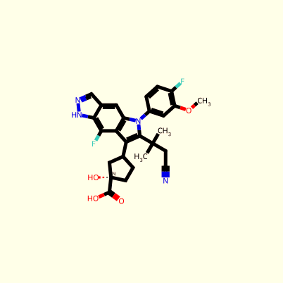 COc1cc(-n2c(C(C)(C)CC#N)c(C3CC[C@@](O)(C(=O)O)C3)c3c(F)c4[nH]ncc4cc32)ccc1F